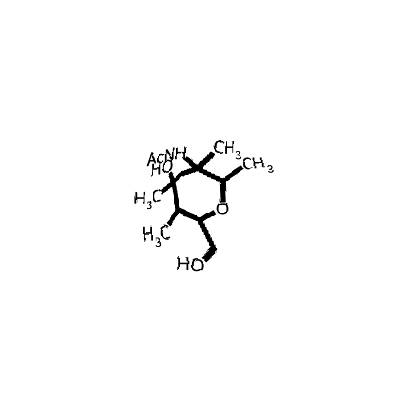 CC(=O)NC1(C)C(C)OC(CO)C(C)C1(C)O